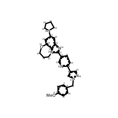 COc1ccc(Cn2cc(-c3ccc(-c4nc5cc(N6CCCC6)cc6c5n4CCCO6)cn3)cn2)cc1